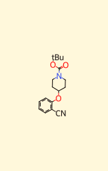 CC(C)(C)OC(=O)N1CCC(Oc2ccccc2C#N)CC1